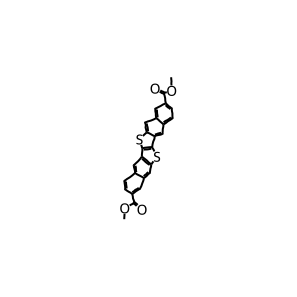 COC(=O)c1ccc2cc3c(cc2c1)sc1c2cc4ccc(C(=O)OC)cc4cc2sc31